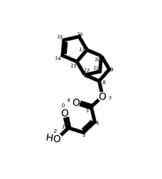 O=C(O)/C=C\C(=O)OC1CC2CC1C1C=CCC21